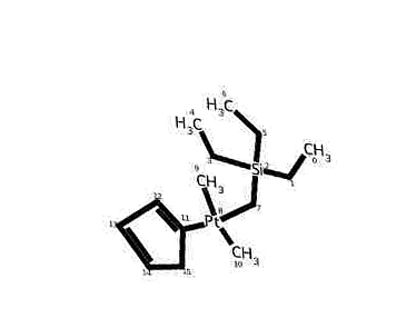 CC[Si](CC)(CC)[CH2][Pt]([CH3])([CH3])[C]1=CC=CC1